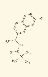 C[C@@H](N[S+]([O-])C(C)(C)C)c1ccc2cnc(Cl)cc2c1